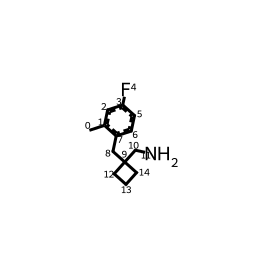 Cc1cc(F)ccc1CC1(CN)CCC1